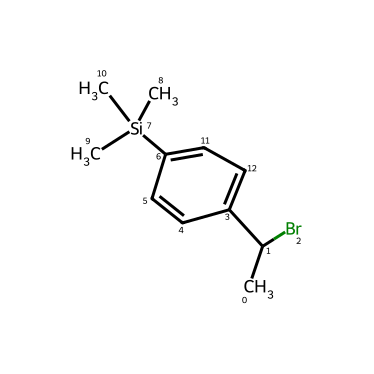 CC(Br)c1ccc([Si](C)(C)C)cc1